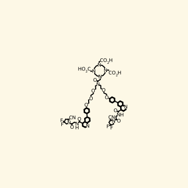 N#C[C@@H]1CC(F)(F)CN1C(=O)CNC(=O)c1ccnc2ccc(-c3ccc(OCCOCCOCCN(CCOCCOc4ccc(-c5ccc6nccc(C(=O)NCC(=O)N7CC(F)(F)C[C@H]7C#N)c6c5)cc4)C(=O)CN4CCN(CC(=O)O)CCN(CC(=O)O)CCN(CC(=O)O)CC4)cc3)cc12